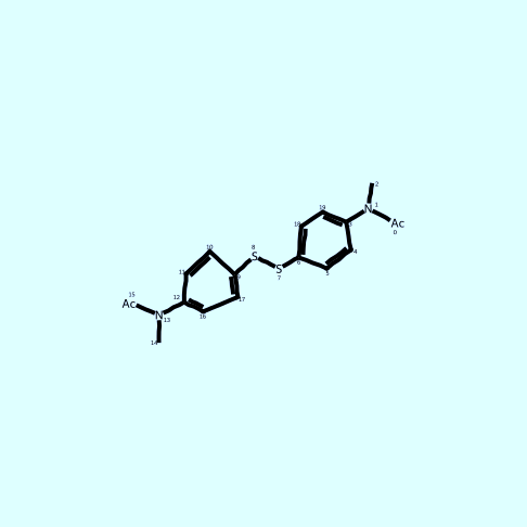 CC(=O)N(C)c1ccc(SSc2ccc(N(C)C(C)=O)cc2)cc1